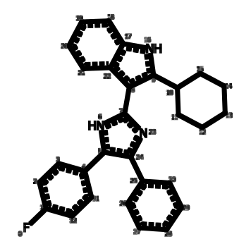 Fc1ccc(-c2[nH]c(-c3c(C4CCCCC4)[nH]c4ccccc34)nc2-c2ccccc2)cc1